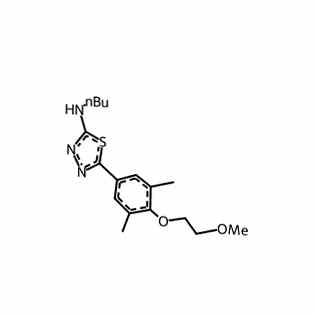 CCCCNc1nnc(-c2cc(C)c(OCCOC)c(C)c2)s1